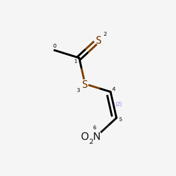 CC(=S)S/C=C\[N+](=O)[O-]